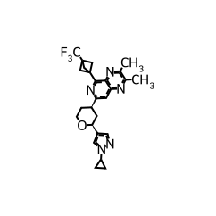 Cc1nc2cc([C@@H]3CCO[C@H](c4cnn(C5CC5)c4)C3)nc(C34CC(C(F)(F)F)(C3)C4)c2nc1C